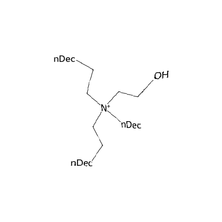 CCCCCCCCCCCC[N+](CCO)(CCCCCCCCCC)CCCCCCCCCCCC